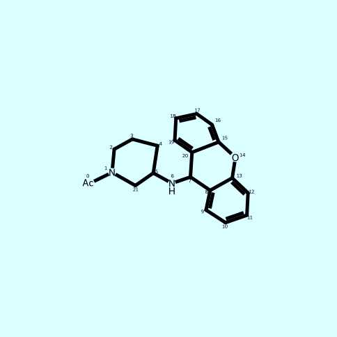 CC(=O)N1CCCC(NC2c3ccccc3Oc3ccccc32)C1